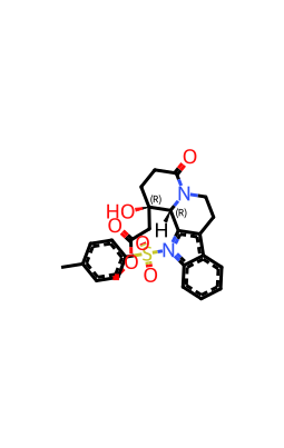 COC(=O)C[C@]1(O)CCC(=O)N2CCc3c(n(S(=O)(=O)c4ccc(C)cc4)c4ccccc34)[C@@H]21